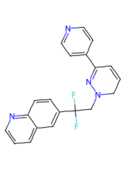 FC(F)(CN1CC=CC(c2ccncc2)=N1)c1ccc2ncccc2c1